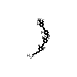 CCCCCC1C=C(F)C(C#Cc2ccc(C(F)(F)Oc3ccc(C#Cc4cc(F)c(C(F)(F)F)c(F)c4)c(F)c3)c(F)c2)=C(F)C1